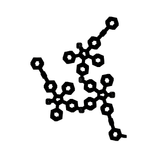 Cc1cccc(C#Cc2ccc(C3=C(c4ccc(Oc5ccc(C6=C(c7ccccc7)C(=O)C(c7ccc(C#Cc8ccccc8)cc7)=C6c6ccccc6)cc5)cc4)C(c4ccc(Oc5ccc(C6=C(c7ccccc7)C(=O)C(c7ccc(C#Cc8ccccc8)cc7)=C6c6ccccc6)cc5)cc4)=C(c4ccccc4)C3=O)cc2)c1